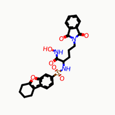 O=C(NO)C(CCCN1C(=O)c2ccccc2C1=O)NS(=O)(=O)c1ccc2c3c(oc2c1)CCCC3